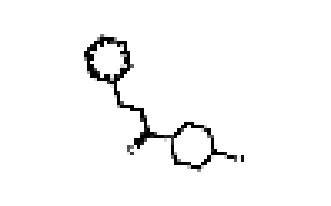 CCC1CCN(C(=O)CCc2ccccc2)CC1